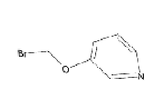 BrCOc1cccnc1